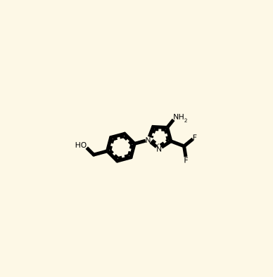 Nc1cn(-c2ccc(CO)cc2)nc1C(F)F